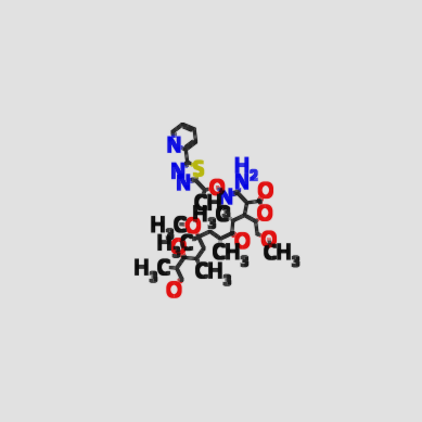 COCC1OC(=O)C(/C(N)=N/OC(C)c2nnc(-c3ccccn3)s2)C1[C@@H](C)C(=O)[C@H](C)C[C@](C)(CC(C)C(=O)C(C)C=O)OC